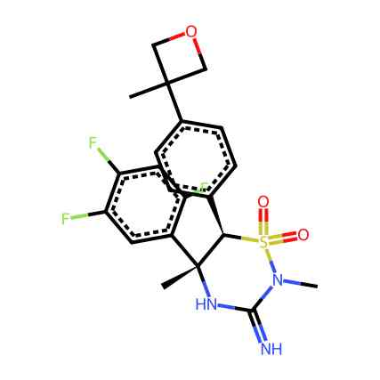 CN1C(=N)N[C@](C)(c2cc(F)c(F)cc2F)[C@@H](c2ccc(C3(C)COC3)cc2)S1(=O)=O